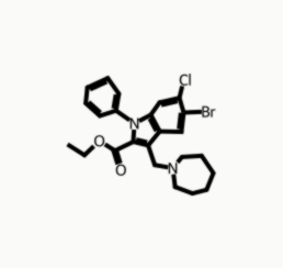 CCOC(=O)c1c(CN2CCCCCC2)c2cc(Br)c(Cl)cc2n1-c1ccccc1